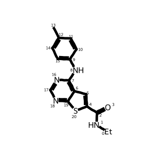 CCNC(=O)c1cc2c(Nc3ccc(C)cc3)ncnc2s1